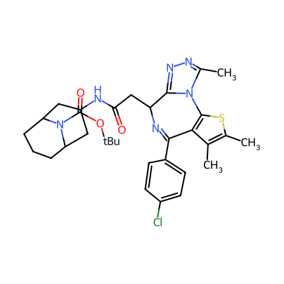 Cc1sc2c(c1C)C(c1ccc(Cl)cc1)=NC(CC(=O)NC1CC3CCCC(C1)N3C(=O)OC(C)(C)C)c1nnc(C)n1-2